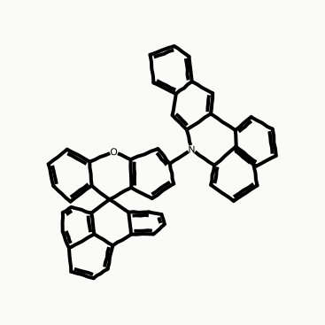 c1ccc(-c2cc3ccccc3cc2N(c2ccccc2)c2ccc3c(c2)Oc2ccccc2C32c3ccccc3-c3cccc4cccc2c34)cc1